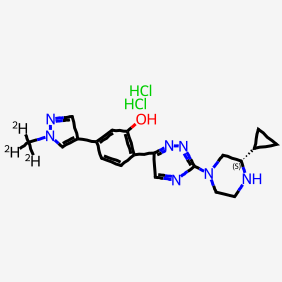 Cl.Cl.[2H]C([2H])([2H])n1cc(-c2ccc(-c3cnc(N4CCN[C@@H](C5CC5)C4)nn3)c(O)c2)cn1